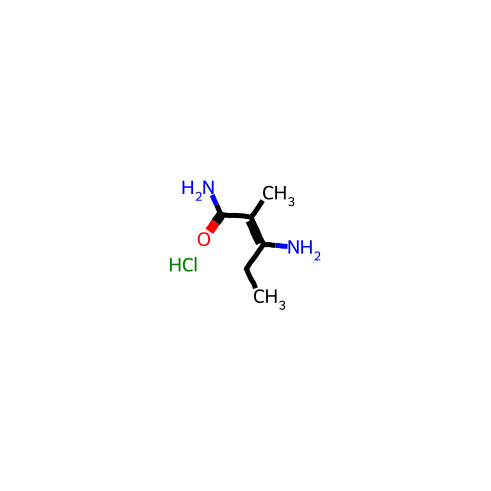 CC/C(N)=C(/C)C(N)=O.Cl